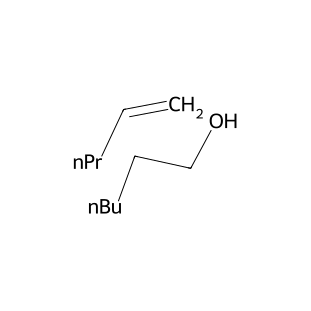 C=CCCC.CCCCCCO